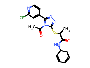 CC(=O)n1c(SC(C)C(=O)NC2C=CC=CC2)nnc1-c1ccnc(Cl)c1